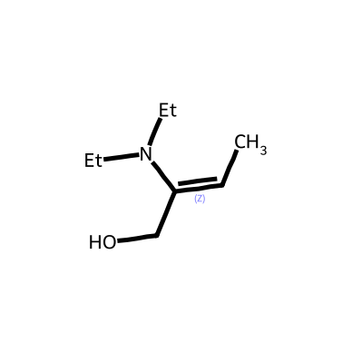 C/C=C(/CO)N(CC)CC